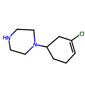 ClC1=CCCC(N2CCNCC2)C1